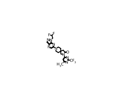 Cc1cc(N2CC3(CCN(c4cnc5cnn(CC(F)F)c5n4)CC3)CC2=O)nc(C(F)(F)F)n1